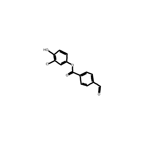 O=Cc1ccc(C(=O)Oc2ccc(O)c(Cl)c2)cc1